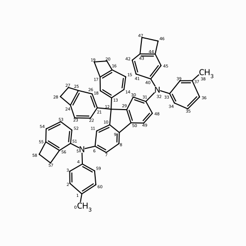 Cc1ccc(N(c2ccc3c(c2)C(c2ccc4c(c2)CC4)(c2ccc4c(c2)CC4)c2cc(N(c4cccc(C)c4)c4ccc5c(c4)CC5)ccc2-3)c2cccc3c2CC3)cc1